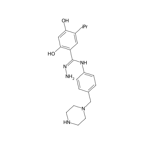 CC(C)c1cc(/C(=N/N)Nc2ccc(CN3CCNCC3)cc2)c(O)cc1O